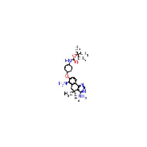 CC(C)(C)OC(=O)NC1CCC(Oc2ccc3c(c2N)CC(C)(C)c2c(N)ncnc2-3)CC1